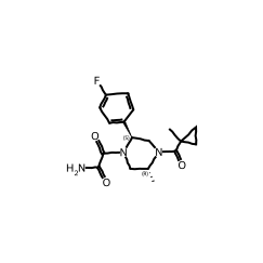 C[C@@H]1CN(C(=O)C(N)=O)[C@@H](c2ccc(F)cc2)CN1C(=O)C1(C)CC1